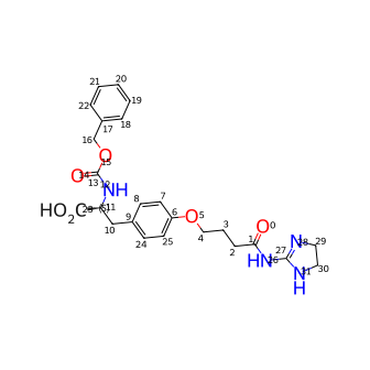 O=C(CCCOc1ccc(C[C@H](NC(=O)OCc2ccccc2)C(=O)O)cc1)NC1=NCCN1